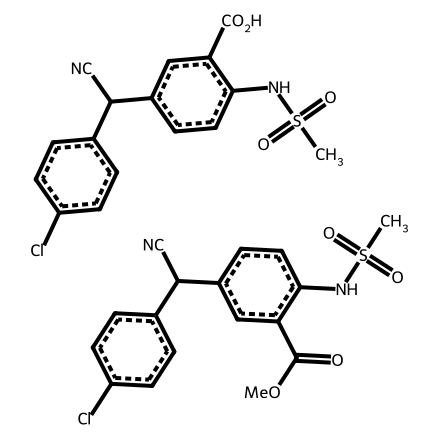 COC(=O)c1cc(C(C#N)c2ccc(Cl)cc2)ccc1NS(C)(=O)=O.CS(=O)(=O)Nc1ccc(C(C#N)c2ccc(Cl)cc2)cc1C(=O)O